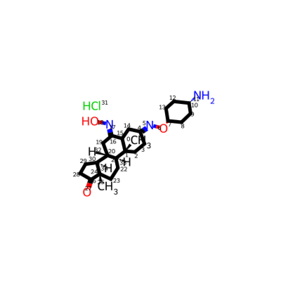 C[C@]12CCC(=NO[C@H]3CC[C@@H](N)CC3)CC1/C(=N/O)C[C@@H]1[C@@H]2CC[C@]2(C)C(=O)CC[C@@H]12.Cl